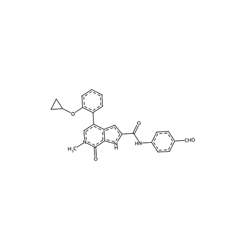 Cn1cc(-c2ccccc2OC2CC2)c2cc(C(=O)Nc3ccc(C=O)cc3)[nH]c2c1=O